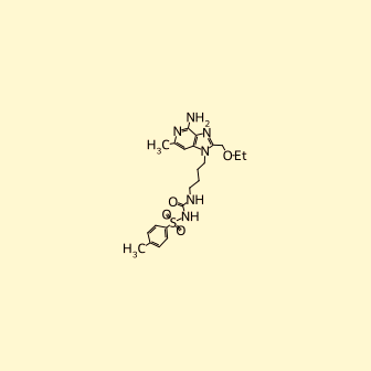 CCOCc1nc2c(N)nc(C)cc2n1CCCCNC(=O)NS(=O)(=O)c1ccc(C)cc1